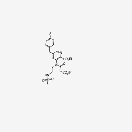 CCOC(=O)CC(=O)N(CCNS(C)(=O)=O)c1cc(Cc2ccc(F)cc2)cnc1C(=O)OCC